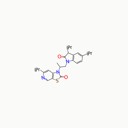 CC(C)c1ccc2c(c1)C(C(C)C)C(=O)N2CC(C)n1c(=O)sc2cnc(C(C)C)cc21